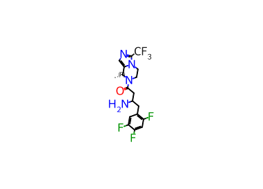 C[C@@H]1c2cnc(C(F)(F)F)n2CCN1C(=O)CC(N)Cc1cc(F)c(F)cc1F